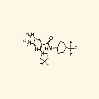 Nc1cc(C(=O)NC2CCC(C(F)(F)F)CC2)c(N2CCC(F)(F)C2)nc1N